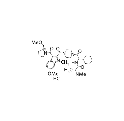 CNC(C)C(=O)NC(C(=O)N1CCN(C(=O)c2c(C(=O)N3CCC[C@H]3COC)c3ccc(OC)cc3n2C)CC1)C1CCCCC1.Cl